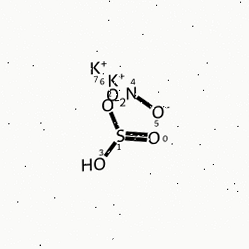 O=S([O-])O.O=[N+]([O-])[O-].[K+].[K+]